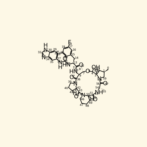 C[C@@H]1C[C@H]2C(O)O[C@@H](C)[C@H](NC(=O)[C@H](Cc3cc(F)cc(F)c3)NC(=O)Nc3ccc4[nH]cnc4c3)C(=O)N3CCC[C@H]3C(=O)N3CCCC[C@H]3C(=O)N[C@@H](C)C(=O)N2C1